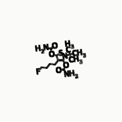 CC(C)(C)N1SC(OC(N)=O)C(CCCCF)=C1OC(N)=O